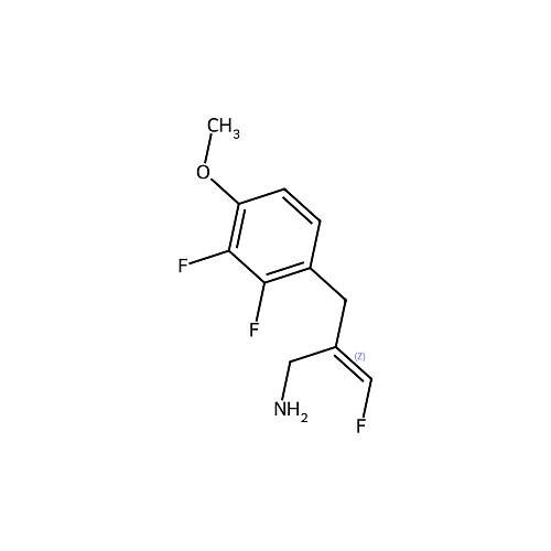 COc1ccc(C/C(=C/F)CN)c(F)c1F